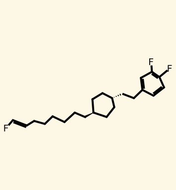 FC=CCCCCCC[C@H]1CC[C@H](CCc2ccc(F)c(F)c2)CC1